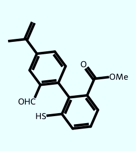 C=C(C)c1ccc(-c2c(S)cccc2C(=O)OC)c(C=O)c1